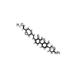 C/C=C/C1CCC(CCc2ccc(-c3ccc(C4CCC(CCC)OC4)c(F)c3F)c(F)c2F)CO1